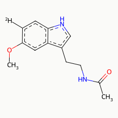 [2H]c1cc2[nH]cc(CCNC(C)=O)c2cc1OC